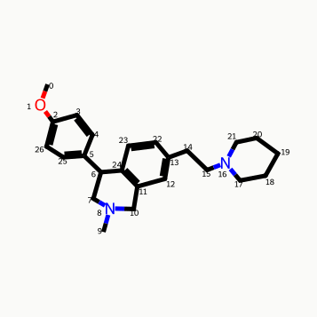 COc1ccc(C2CN(C)Cc3cc(CCN4CCCCC4)ccc32)cc1